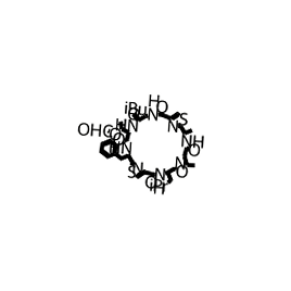 CCC(C)C1NC(=O)c2csc(n2)C(C)NC(=O)C2N=C(OC2C)C(CC(C)C)NC(=O)c2csc(n2)C(Cc2ccccc2)NC(=O)C(C(C)OC=O)NC1=O